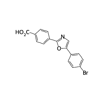 O=C(O)c1ccc(-c2ncc(-c3ccc(Br)cc3)o2)cc1